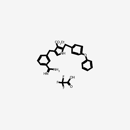 CCOC(=O)c1c(Cc2cccc(C(=N)N)c2)c[nH]c1Cc1ccc(Oc2ccccc2)cc1.O=C(O)C(F)(F)F